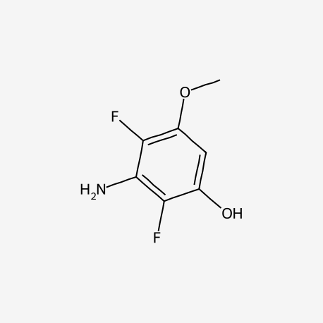 COc1cc(O)c(F)c(N)c1F